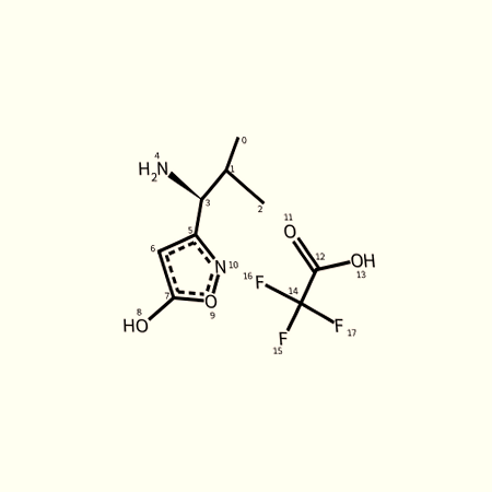 CC(C)[C@H](N)c1cc(O)on1.O=C(O)C(F)(F)F